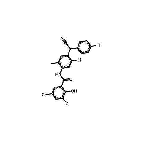 Cc1cc(C(C#N)c2ccc(Cl)cc2)c(Cl)cc1NC(=O)c1cc(Cl)cc(Cl)c1O